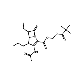 CCSC1C(NC(C)=O)=C(C(=O)OCOC(=O)C(C)(C)C)N2C(=O)C(CC)C12